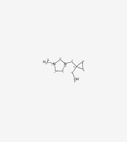 CN1CCN(CC2(CO)CC2)C1